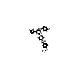 O=S(=O)(c1ccc(OC(F)(F)F)cc1)N1CCN(c2nc(Nc3ccc(F)cc3)cc(-c3cncs3)n2)CC1